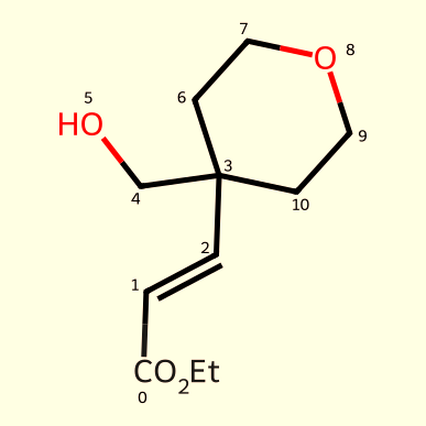 CCOC(=O)C=CC1(CO)CCOCC1